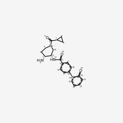 N[C@@H]1CCN(C(=O)C2CC2)C[C@@H]1NC(=O)c1ccc(-n2ccccc2=O)cc1